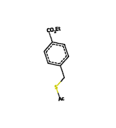 CCOC(=O)c1ccc(CSC(C)=O)cc1